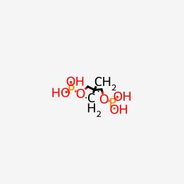 [CH2]C([CH2])(COP(O)O)COP(O)O